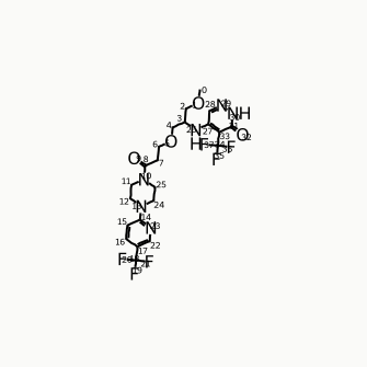 COCC(COCCC(=O)N1CCN(c2ccc(C(F)(F)F)cn2)CC1)Nc1cn[nH]c(=O)c1C(F)(F)F